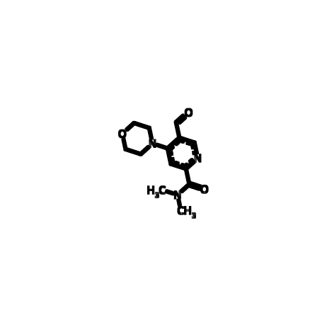 CN(C)C(=O)c1cc(N2CCOCC2)c(C=O)cn1